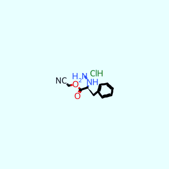 Cl.N#CCOC(=O)[C@H](Cc1ccccc1)NN